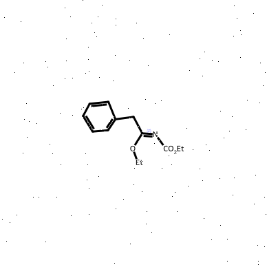 CCOC(=O)/N=C(/Cc1ccccc1)OCC